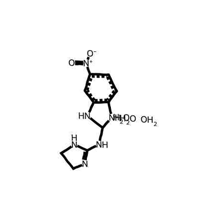 O.O.O.O=[N+]([O-])c1ccc2c(c1)NC(NC1=NCCN1)N2